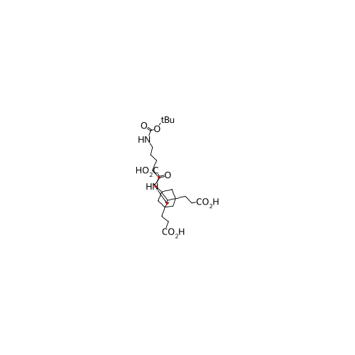 CC(C)(C)OC(=O)NCCCCC(=O)NC1=C2C3(CCC(=O)O)CC(CCC(=O)O)(C1)CC2(CCC(=O)O)C3